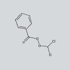 O=C(OOC(Cl)Cl)c1ccccc1